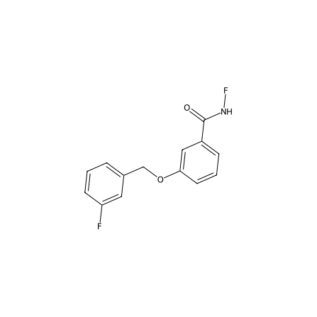 O=C(NF)c1cccc(OCc2cccc(F)c2)c1